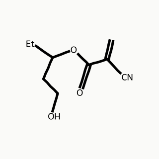 [CH2]CC(CCO)OC(=O)C(=C)C#N